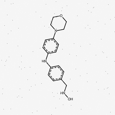 ONCc1ccc(Nc2ccc(N3CCOCC3)cc2)cc1